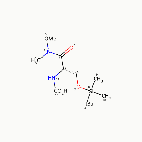 CON(C)C(=O)[C@H](CO[Si](C)(C)C(C)(C)C)NC(=O)O